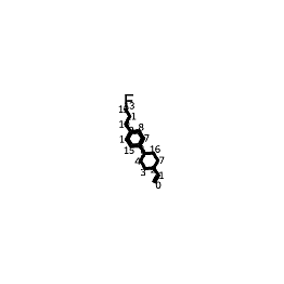 C=CC1CCC(c2ccc(CCCF)cc2)CC1